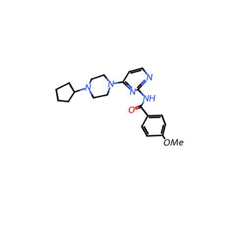 COc1ccc(C(=O)Nc2nccc(N3CCN(C4CCCC4)CC3)n2)cc1